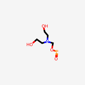 O=POCN(CCO)CCO